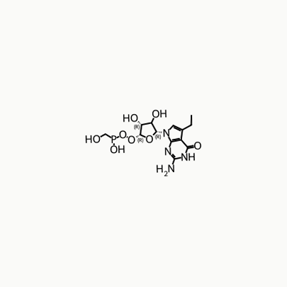 CCc1cn([C@@H]2O[C@H](OOP(O)CO)[C@H](O)C2O)c2nc(N)[nH]c(=O)c12